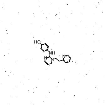 Oc1ccc(NC2=NC=CCN2CCc2ccccn2)cc1